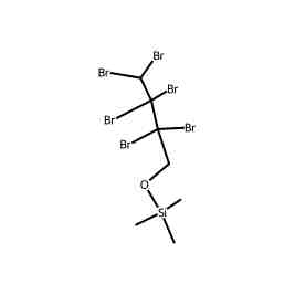 C[Si](C)(C)OCC(Br)(Br)C(Br)(Br)C(Br)Br